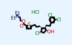 CCN(CC)CCOC(=O)c1ccc(CCC[C@@H]2[C@@H](CCc3cc(Cl)cc(Cl)c3)[C@H](O)C[C@@H]2Cl)s1.Cl